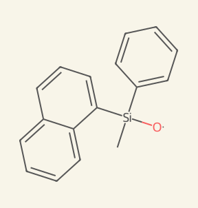 C[Si]([O])(c1ccccc1)c1cccc2ccccc12